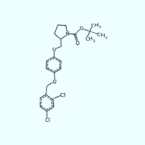 CC(C)(C)OC(=O)N1CCCC1COc1ccc(OCc2ccc(Cl)cc2Cl)cc1